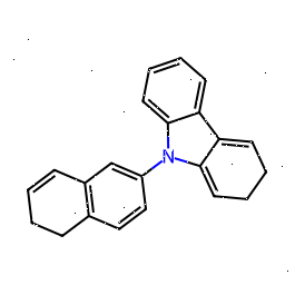 C1=Cc2cc(-n3c4c(c5ccccc53)=CCCC=4)ccc2CC1